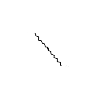 CC(=O)OCCCCCCCCC=CCCCCCCCCOC(C)=O